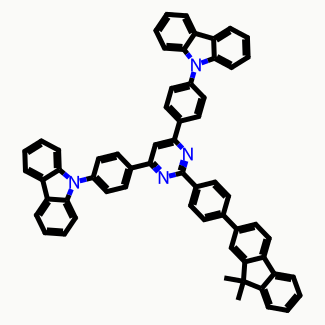 CC1(C)c2ccccc2-c2ccc(-c3ccc(-c4nc(-c5ccc(-n6c7ccccc7c7ccccc76)cc5)cc(-c5ccc(-n6c7ccccc7c7ccccc76)cc5)n4)cc3)cc21